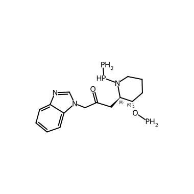 O=C(C[C@@H]1[C@@H](OP)CCCN1PP)Cn1cnc2ccccc21